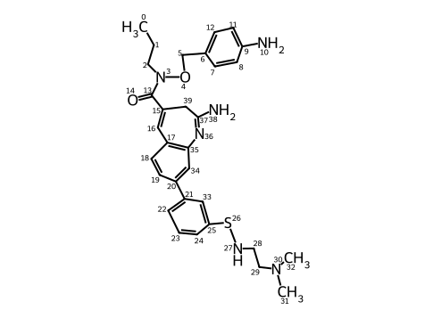 CCCN(OCc1ccc(N)cc1)C(=O)C1=Cc2ccc(-c3cccc(SNCCN(C)C)c3)cc2N=C(N)C1